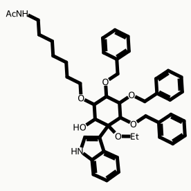 CCOC1(c2c[nH]c3ccccc23)C(O)C(OCCCCCCCNC(C)=O)C(OCc2ccccc2)C(OCc2ccccc2)C1OCc1ccccc1